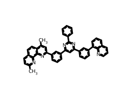 Cc1ccc2ccc3c(C)cc(-c4cccc(-c5cc(-c6cccc(-c7cccc8cccnc78)c6)nc(-c6ccccc6)n5)c4)nc3c2n1